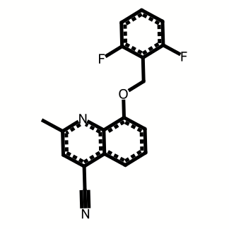 Cc1cc(C#N)c2cccc(OCc3c(F)cccc3F)c2n1